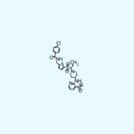 C=CC(N1CCC(Nc2ncccc2[N+](=O)[O-])CC1)S(=O)(=O)c1ccc(CNC(=O)c2ccc(Cl)cc2)s1